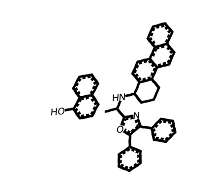 CC(NC1CCCc2c1ccc1c2ccc2ccccc21)c1nc(-c2ccccc2)c(-c2ccccc2)o1.Oc1cccc2ccccc12